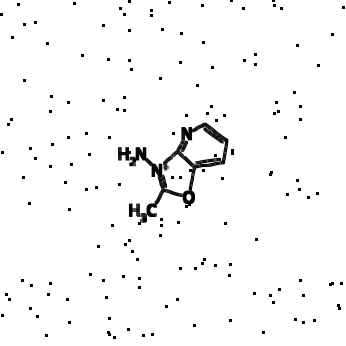 Cc1oc2cccnc2[n+]1N